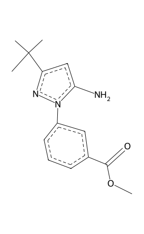 COC(=O)c1cccc(-n2nc(C(C)(C)C)cc2N)c1